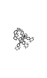 CC(C)(C)c1ccc(N2c3cc(-c4cccc5c4sc4ccccc45)cc4c3B(c3cc5c(cc3N4c3ccc4c(c3)C(C)(C)CCC4(C)C)C(C)(C)CCC5(C)C)c3c2oc2cc4c(cc32)C(C)(C)CCC4(C)C)cc1